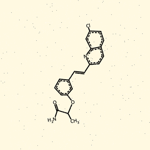 CC(Oc1cccc(C=Cc2ccc3ccc(Cl)cc3n2)c1)C(N)=O